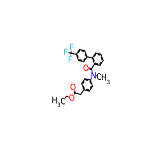 CCOC(=O)Cc1ccc(N(C)C(=O)c2ccccc2-c2ccc(C(F)(F)F)cc2)cc1